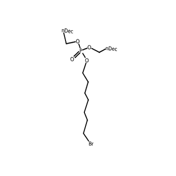 CCCCCCCCCCCOP(=O)(OCCCCCCCBr)OCCCCCCCCCCC